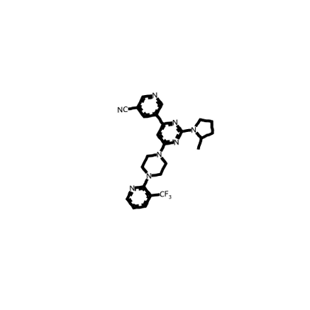 CC1CCCN1c1nc(-c2cncc(C#N)c2)cc(N2CCN(c3ncccc3C(F)(F)F)CC2)n1